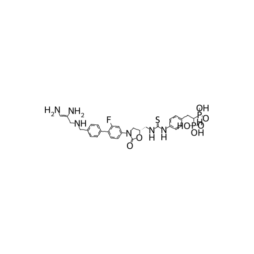 N/C=C(\N)CNCc1ccc(-c2ccc(N3C[C@H](CNC(=S)Nc4ccc(CC([PH](=O)O)P(=O)(O)O)cc4)OC3=O)cc2F)cc1